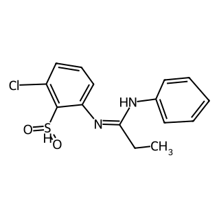 CC/C(=N/c1cccc(Cl)c1[SH](=O)=O)Nc1ccccc1